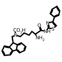 NC(CCCCN(CC1c2ccccc2-c2ccccc21)C(=O)O)C(=O)Nc1nc(-c2ccccc2)cs1